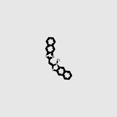 CCN1C(=Cc2nc3cc4ccccc4cc3s2)Sc2cc3ccccc3cc21